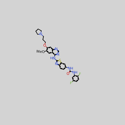 COc1cc2c(Nc3nc4ccc(NC(=O)Nc5cc(F)ccc5F)cc4s3)ncnc2cc1OCCCN1CCCC1